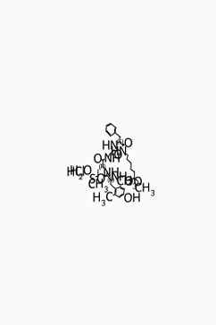 COC(=O)CCCCCNC(=O)[C@H](Cc1ccccc1)NC(=O)CNC(=O)[C@@H](CCSC)NC(=O)[C@H](N)Cc1c(C)cc(O)cc1C.Cl.O